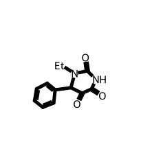 CCN1C(=O)NC(=O)C(=O)C1c1ccccc1